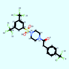 O=C(Cc1ccc(C(F)(F)F)cc1)N1CCN(S(=O)(=O)C2C=C(C(F)(F)F)C=C(C(F)(F)F)C2)CC1